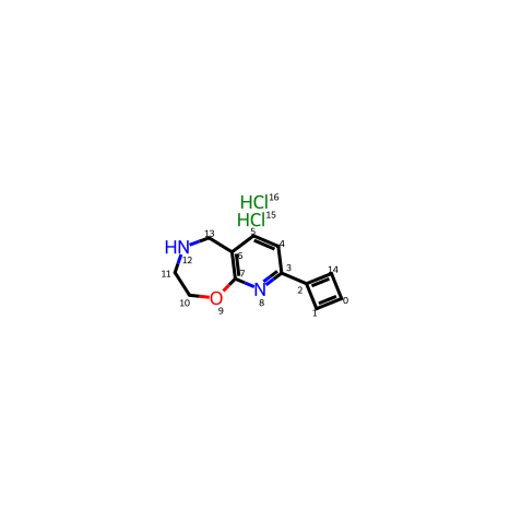 C1=CC(c2ccc3c(n2)OCCNC3)=C1.Cl.Cl